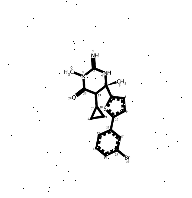 CN1C(=N)N[C@](C)(c2ccc(-c3cccc(Br)c3)s2)C(C2CC2)C1=O